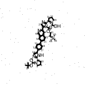 CC(C)(C)OC(=O)N1CCC[C@H]1c1ncc(-c2ccc(-c3ccc4cc(-c5cnc([C@@H]6CCCN6C(=O)O)n5COCC[Si](C)(C)C)ncc4c3)cc2)[nH]1